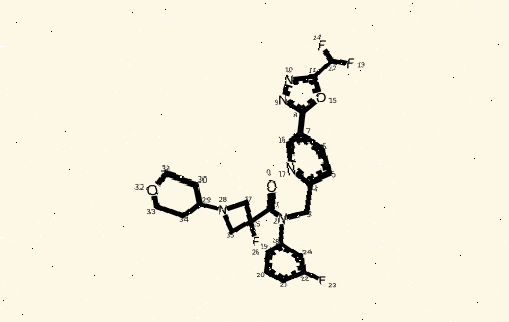 O=C(N(Cc1ccc(-c2nnc(C(F)F)o2)cn1)c1cccc(F)c1)C1(F)CN(C2CCOCC2)C1